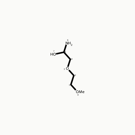 COCCOCC(N)O